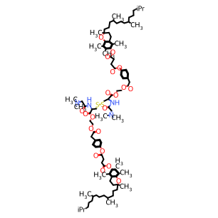 Cc1c(C)c2c(c(C)c1OC(=O)CCC(=O)Oc1ccc(CC(=O)OCCOC(=O)C(CSSCC(NC(=O)CN(C)C)C(=O)OCCOC(=O)Cc3ccc(OC(=O)CCC(=O)Oc4c(C)c(C)c5c(c4C)CCC(C)(CCCC(C)CCCC(C)CCCC(C)C)O5)cc3)NC(=O)CN(C)C)cc1)CCC(C)(CCCC(C)CCCC(C)CCCC(C)C)O2